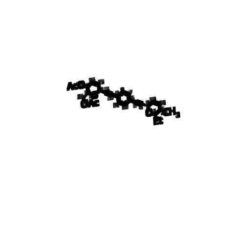 CC[C@H]1O[C@H](C#Cc2ccc(C#C[C@@H]3C=C[C@H](OC(C)=O)[C@@H](COC(C)=O)O3)cc2)C=C[C@@H]1C